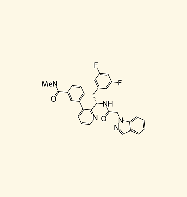 CNC(=O)c1cccc(-c2cccnc2[C@H](Cc2cc(F)cc(F)c2)NC(=O)Cn2ncc3ccccc32)c1